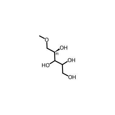 COC[C@@H](O)C(O)C(O)CO